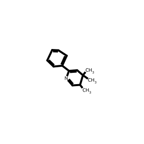 CC1C=NC(c2ccccc2)=CC1(C)C